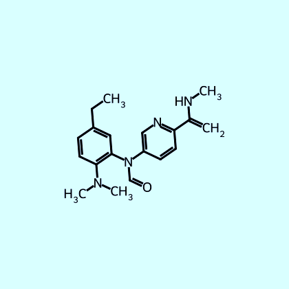 C=C(NC)c1ccc(N(C=O)c2cc(CC)ccc2N(C)C)cn1